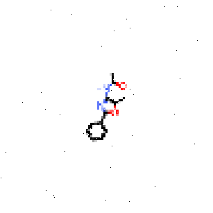 CC(=O)Nc1nc(-c2ccccc2)oc1C